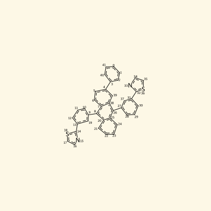 c1ccc(-c2ccc3c(-c4cccc(-c5nccs5)c4)c4ccccc4c(-c4cccc(-c5nccs5)c4)c3c2)cc1